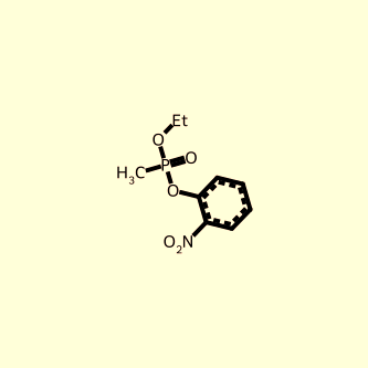 CCOP(C)(=O)Oc1ccccc1[N+](=O)[O-]